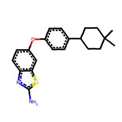 CC1(C)CCC(c2ccc(Oc3ccc4nc(N)sc4c3)cc2)CC1